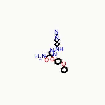 N#CN1CC2(CC(Nc3ncc(C(N)=O)c(Oc4ccc(Oc5ccccc5)cc4)n3)C2)C1